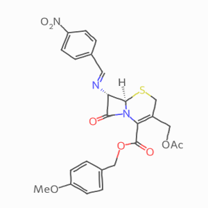 COc1ccc(COC(=O)C2=C(COC(C)=O)CS[C@@H]3[C@@H](N=Cc4ccc([N+](=O)[O-])cc4)C(=O)N23)cc1